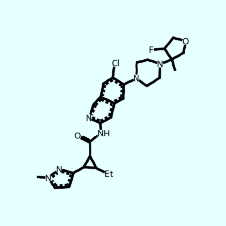 CCC1C(C(=O)Nc2cc3cc(N4CCN(C5(C)COCC5F)CC4)c(Cl)cc3cn2)C1c1ccn(C)n1